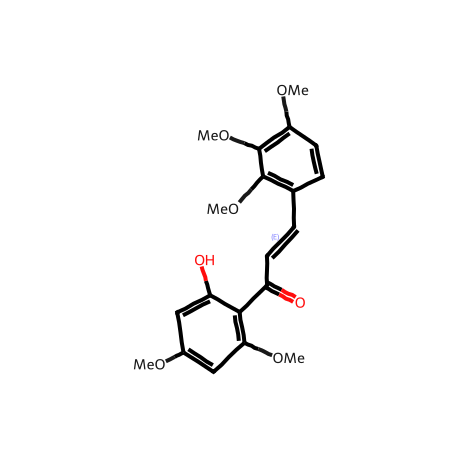 COc1cc(O)c(C(=O)/C=C/c2ccc(OC)c(OC)c2OC)c(OC)c1